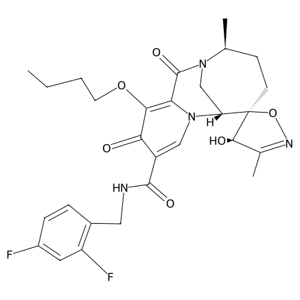 CCCCOc1c2n(cc(C(=O)NCc3ccc(F)cc3F)c1=O)[C@@H]1CN(C2=O)[C@@H](C)CC[C@@]12ON=C(C)[C@H]2O